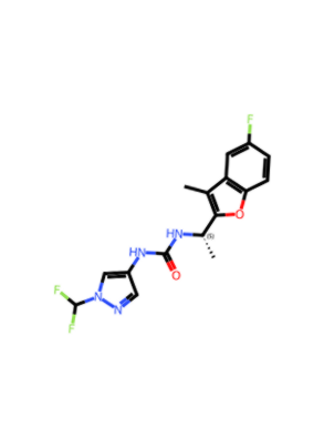 Cc1c([C@H](C)NC(=O)Nc2cnn(C(F)F)c2)oc2ccc(F)cc12